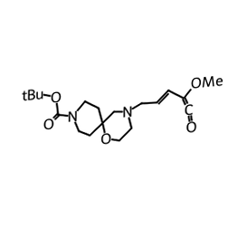 COC(=C=O)/C=C/CN1CCOC2(CCN(C(=O)OC(C)(C)C)CC2)C1